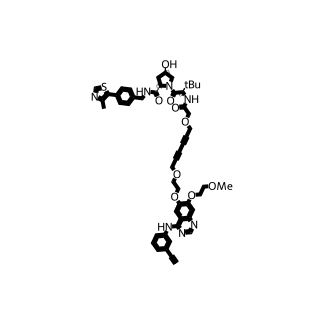 C#Cc1cccc(Nc2ncnc3cc(OCCOC)c(OCCOCC#CC#CCOCC(=O)N[C@H](C(=O)N4C[C@@H](O)C[C@H]4C(=O)NCc4ccc(-c5scnc5C)cc4)C(C)(C)C)cc23)c1